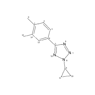 Cc1ccc(-c2nnn(C3CC3)n2)cc1C